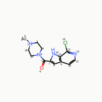 CC(=O)N1CCN(C(=O)c2cc3ccnc(Cl)c3[nH]2)CC1